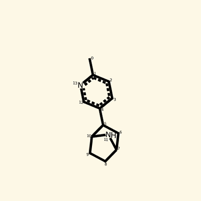 Cc1ccc(C2CC3CCC2N3)cn1